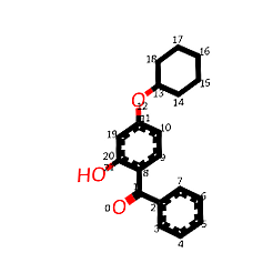 O=C(c1ccccc1)c1ccc(OC2CCCCC2)cc1O